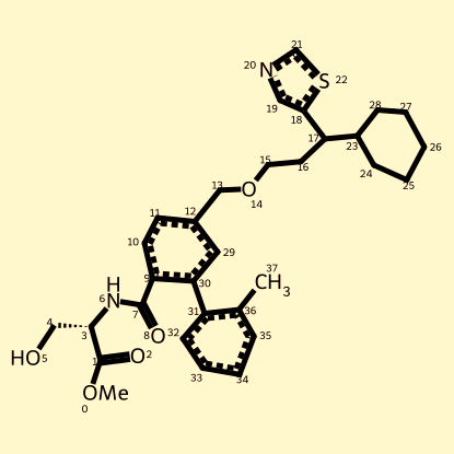 COC(=O)[C@H](CO)NC(=O)c1ccc(COCCC(c2cncs2)C2CCCCC2)cc1-c1ccccc1C